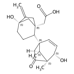 C=C1C[C@]2(CC(=O)O)C[C@@]1(O)CCC2[C@@]12C=C[C@H](O)[C@@](C)(C(=O)C1)[C@H]2C